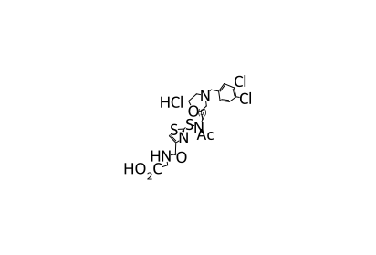 CC(=O)N(C[C@@H]1CN(Cc2ccc(Cl)c(Cl)c2)CCO1)Sc1nc(C(=O)NCC(=O)O)cs1.Cl